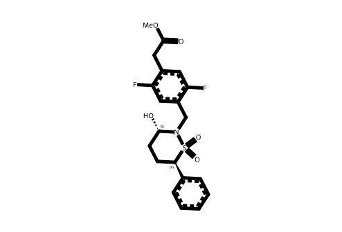 COC(=O)Cc1cc(F)c(CN2[C@@H](O)CC[C@H](c3ccccc3)S2(=O)=O)cc1F